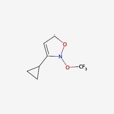 FC(F)(F)ON1O[CH]C=C1C1CC1